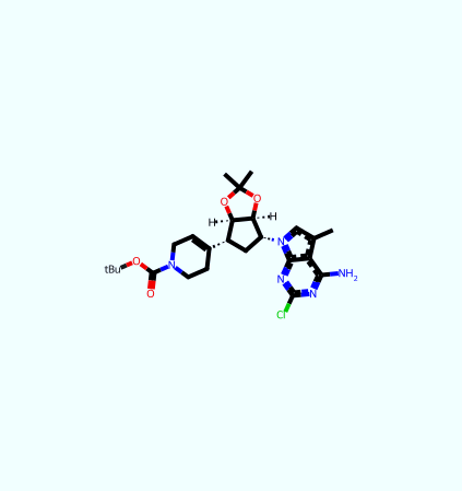 Cc1cn([C@@H]2C[C@H](C3=CCN(C(=O)OC(C)(C)C)CC3)[C@H]3OC(C)(C)O[C@H]32)c2nc(Cl)nc(N)c12